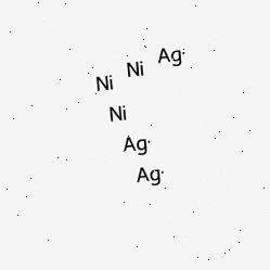 [Ag].[Ag].[Ag].[Ni].[Ni].[Ni]